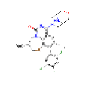 CO[C@@H]1CSc2c(-c3cc(Cl)c(F)cc3F)c(C(F)(F)F)cc3c(N4CC5COCC(C4)N5)nc(=O)n(c23)C1